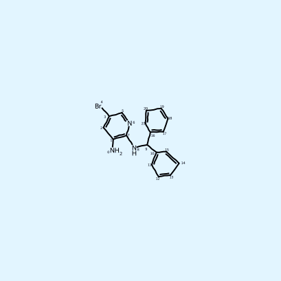 Nc1cc(Br)cnc1NC(c1ccccc1)c1ccccc1